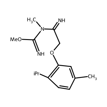 COC(=N)N(C)C(=N)COc1cc(C)ccc1C(C)C